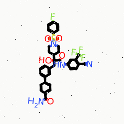 N#Cc1ccc(NC(=O)C(O)(Cc2cccc(-c3ccc(C(N)=O)cc3)c2)C2CCN(S(=O)(=O)c3ccc(F)cc3)CC2)cc1C(F)(F)F